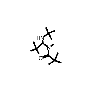 CN(C(=O)C(C)(C)C)C(NC(C)(C)C)C(C)(C)C